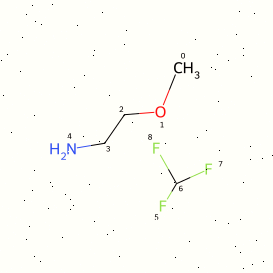 COCCN.FC(F)F